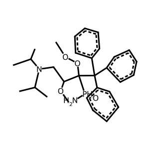 COOC(C(CN(C(C)C)C(C)C)OC)([PH](N)=O)C(c1ccccc1)(c1ccccc1)c1ccccc1